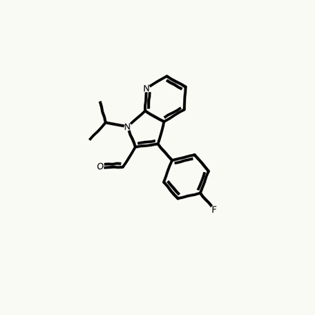 CC(C)n1c(C=O)c(-c2ccc(F)cc2)c2cccnc21